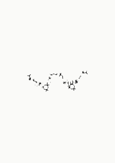 C=C(C)C(=O)OCCOC(=O)NC1CC(C)(C)CC(C)(CNC(=O)OCCC(C)(C)OCCC(C)OC(=O)NCC2(C)CC(NC(=O)OCCOC(=O)C(=C)C)CC(C)(C)C2)C1